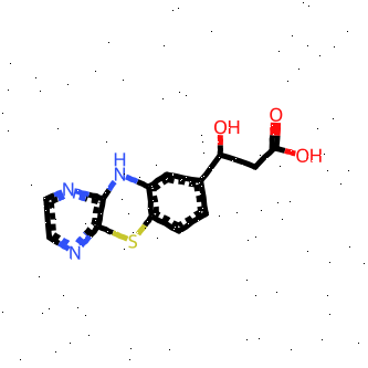 O=C(O)CC(O)c1ccc2c(c1)Nc1nccnc1S2